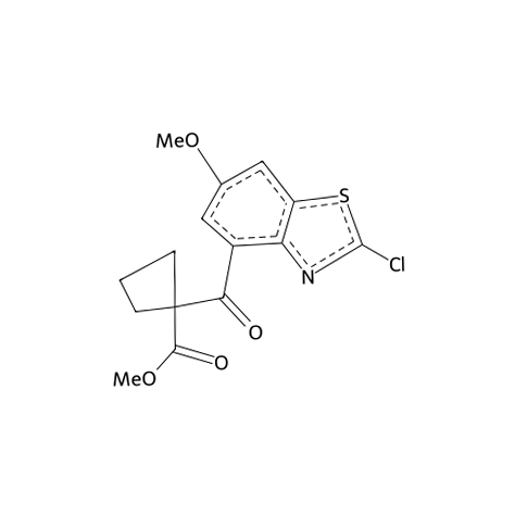 COC(=O)C1(C(=O)c2cc(OC)cc3sc(Cl)nc23)CCC1